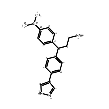 CNCCC(c1ccc(-c2cn[nH]c2)cc1)c1ccc(N(C)C)cc1